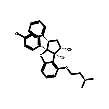 CN(C)CCOc1cccc2c1[C@]1(O)[C@@H](O)C[C@@H](c3ccccc3)[C@]1(c1ccc(Cl)cc1)O2